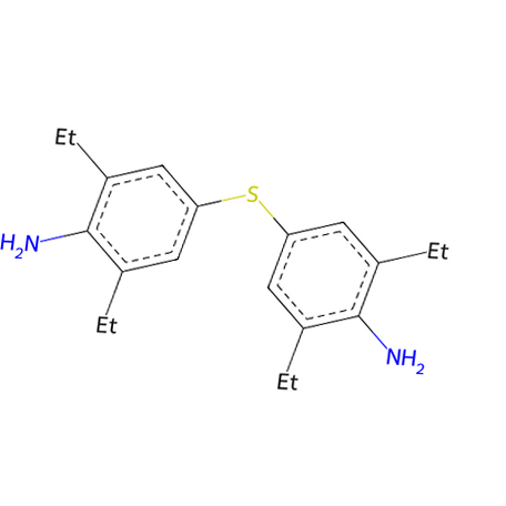 CCc1cc(Sc2cc(CC)c(N)c(CC)c2)cc(CC)c1N